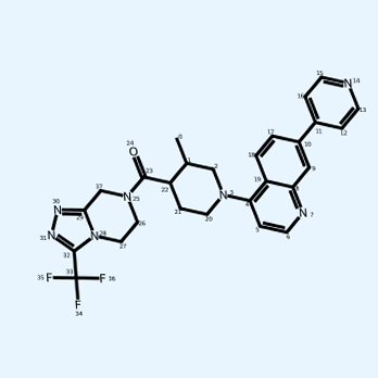 CC1CN(c2ccnc3cc(-c4ccncc4)ccc23)CCC1C(=O)N1CCn2c(nnc2C(F)(F)F)C1